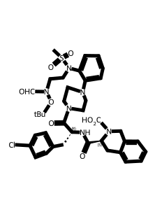 CC(C)(C)ON(C=O)CCN(c1ccccc1N1CCN(C(=O)[C@@H](Cc2ccc(Cl)cc2)NC(=O)[C@@H]2Cc3ccccc3CN2C(=O)O)CC1)S(C)(=O)=O